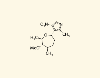 CO[C@H]1[C@H](C)CC[C@@H](c2c([N+](=O)[O-])cnn2C)O[C@@H]1C